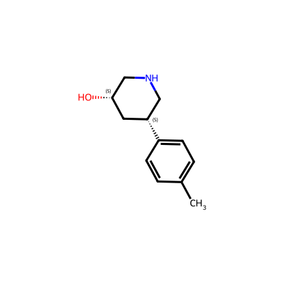 Cc1ccc([C@H]2CNC[C@@H](O)C2)cc1